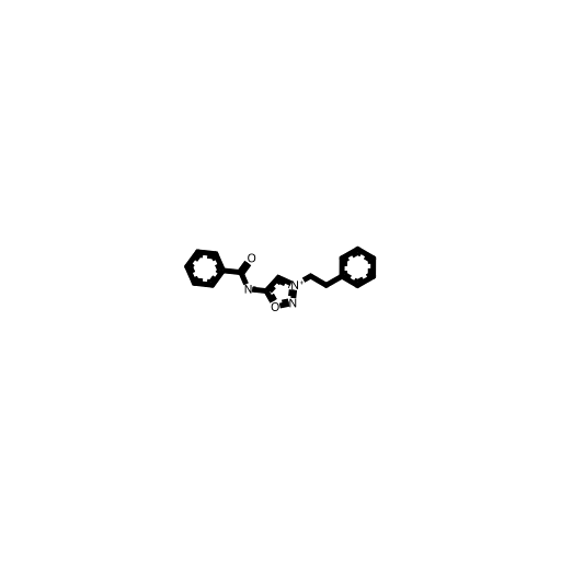 O=C([N-]c1c[n+](CCc2ccccc2)no1)c1ccccc1